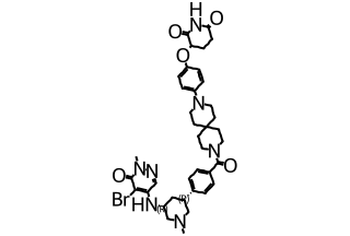 CN1C[C@H](Nc2cnn(C)c(=O)c2Br)C[C@H](c2ccc(C(=O)N3CCC4(CC3)CCN(c3ccc(OC5CCC(=O)NC5=O)cc3)CC4)cc2)C1